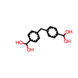 OC(O)c1ccc(Cc2ccc(C(O)O)cc2)cc1